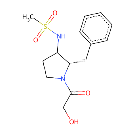 CS(=O)(=O)NC1CCN(C(=O)CO)[C@H]1Cc1ccccc1